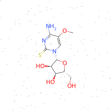 COc1cn([C@@H]2O[C@H](CO)[C@@H](O)[C@H]2O)c(=S)nc1N